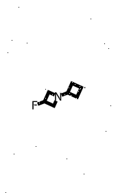 FC1CN(C2C[CH]C2)C1